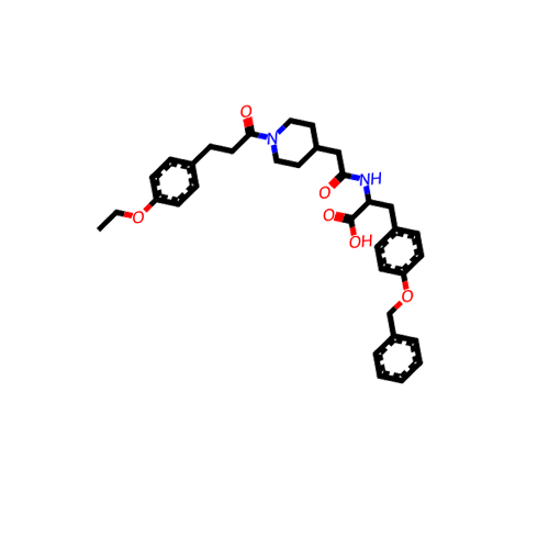 CCOc1ccc(CCC(=O)N2CCC(CC(=O)NC(Cc3ccc(OCc4ccccc4)cc3)C(=O)O)CC2)cc1